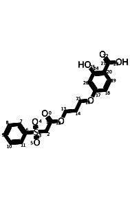 O=C(CS(=O)(=O)c1ccccc1)OCCCOc1ccc(C(=O)O)c(O)c1